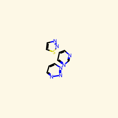 c1cncnc1.c1cnnnc1.c1csnn1